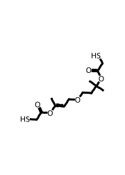 C/C(=C\COCCC(C)(C)OC(=O)CS)OC(=O)CS